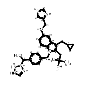 CC(c1ccc(Cn2c(CC(C)(C)O)c(CC3CC3)c3cc(OCc4cscn4)ccc32)cc1)N1N=CNN1